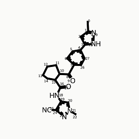 Cc1cc(-c2ccc(C(=O)C3CCCCC3C(=O)Nc3cn(C)nc3C#N)cc2)[nH]n1